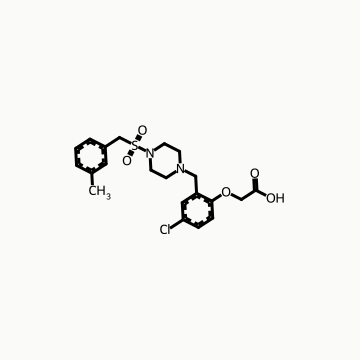 Cc1cccc(CS(=O)(=O)N2CCN(Cc3cc(Cl)ccc3OCC(=O)O)CC2)c1